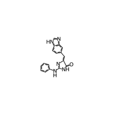 O=C1NC(Nc2ccccc2)=N/C1=C\c1ccc2[nH]cnc2c1